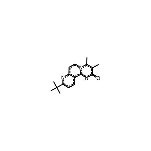 Cc1c(C)n2ccc3nc(C(C)(C)C)ccc3c2nc1=O